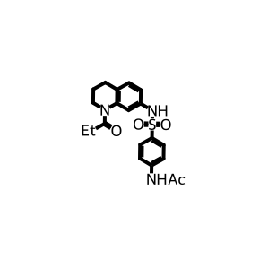 CCC(=O)N1CCCc2ccc(NS(=O)(=O)c3ccc(NC(C)=O)cc3)cc21